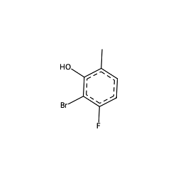 Cc1ccc(F)c(Br)c1O